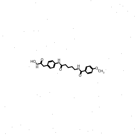 COc1ccc(C(=O)NCCCCC(=O)Nc2ccc(CC(=O)NO)cc2)cc1